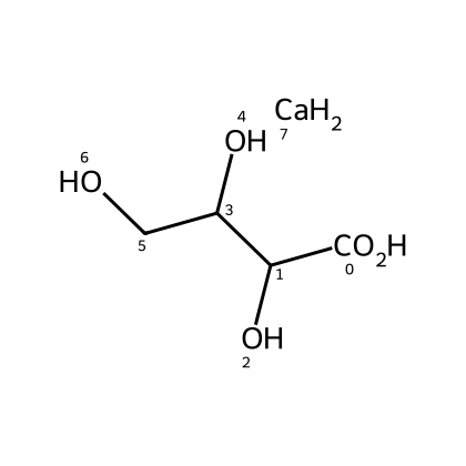 O=C(O)C(O)C(O)CO.[CaH2]